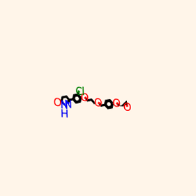 O=C1CCC(c2ccc(OCCCOCc3ccc(OC[C@@H]4CO4)cc3)c(Cl)c2)=NN1